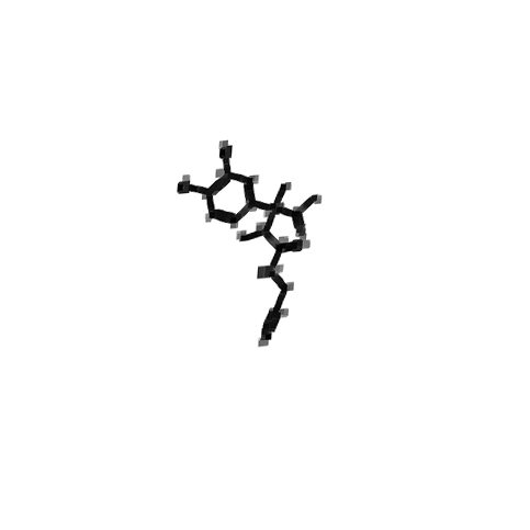 CC(=S)[N+](C)(c1ccc(Cl)c(Cl)c1)C(C)C(=O)NCC#N